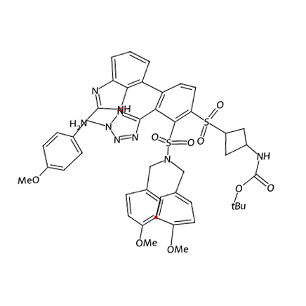 COc1ccc(CN(Cc2ccc(OC)cc2)S(=O)(=O)c2c(S(=O)(=O)C3CC(NC(=O)OC(C)(C)C)C3)ccc(-c3cccc4nc(N)[nH]c34)c2-c2nnn(Cc3ccc(OC)cc3)n2)cc1